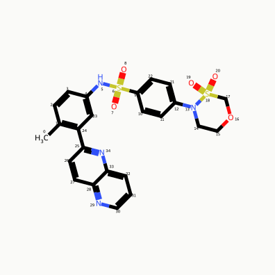 Cc1ccc(NS(=O)(=O)c2ccc(N3CCOCS3(=O)=O)cc2)cc1-c1ccc2ncccc2n1